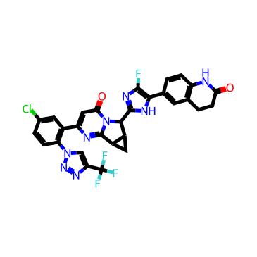 O=C1CCc2cc(-c3[nH]c(C4C5CC5c5nc(-c6cc(Cl)ccc6-n6cc(C(F)(F)F)nn6)cc(=O)n54)nc3F)ccc2N1